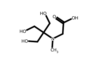 CN(CC(=O)O)C(CO)(CO)CO